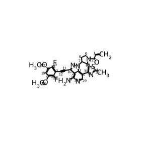 C=CC(=O)N1CCC(n2nc(C#Cc3c(F)c(OC)cc(OC)c3F)c3c(N)ncc(-c4csc(C)n4)c32)C1